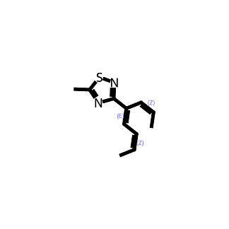 C\C=C/C=C(\C=C/C)c1nsc(C)n1